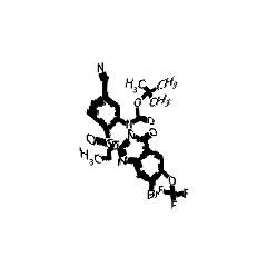 CCS(=O)(=O)c1ccc(C#N)cc1N(C(=O)OC(C)(C)C)n1cnc2cc(Br)c(OC(F)(F)F)cc2c1=O